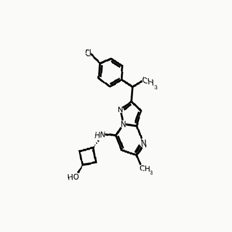 Cc1cc(N[C@H]2C[C@H](O)C2)n2nc(C(C)c3ccc(Cl)cc3)cc2n1